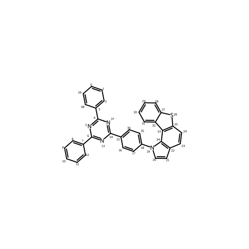 c1ccc(-c2nc(-c3ccccc3)nc(-c3ccc(-n4ccc5ccc6sc7ccccc7c6c54)cc3)n2)cc1